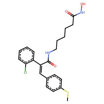 CSc1ccc(C=C(C(=O)NCCCCCC(=O)NO)c2ccccc2Cl)cc1